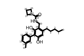 CCCCCc1cc(O)c(-c2cccc(C)c2)c(O)c1CNC(=O)N1CCC1